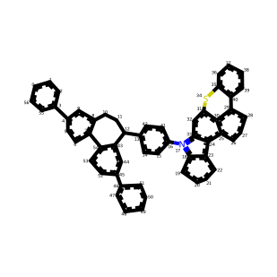 c1ccc(-c2ccc3c(c2)CCC(c2ccc(-n4c5ccccc5c5c6cccc7c6c(cc54)Sc4ccccc4-7)cc2)c2cc(-c4ccccc4)ccc2-3)cc1